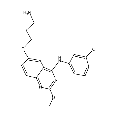 COc1nc(Nc2cccc(Cl)c2)c2cc(OCCCN)ccc2n1